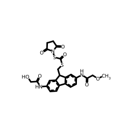 COCC(=O)Nc1ccc2c(c1)C(CSC(=O)SN1C(=O)CCC1=O)c1cc(NC(=O)CO)ccc1-2